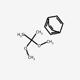 COC(C)([SiH3])OC.c1cc2ccc1cc2